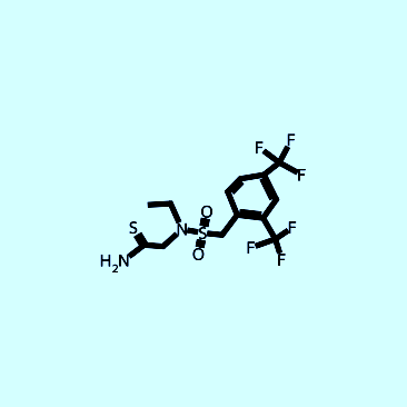 CCN(CC(N)=S)S(=O)(=O)Cc1ccc(C(F)(F)F)cc1C(F)(F)F